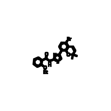 CCOc1ccccc1C(=O)Nc1nc(-c2ccc(Br)c3c2OC(C)(C)C=C3)cs1